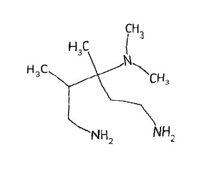 CC(CN)C(C)(CCN)N(C)C